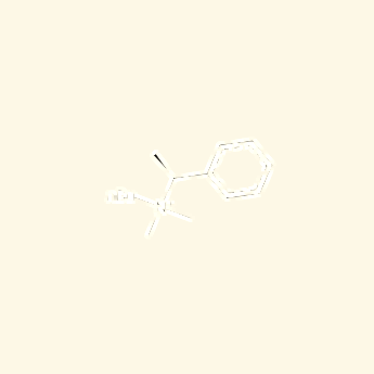 CCCC[N+](C)(C)[C@@H](C)c1ccccc1